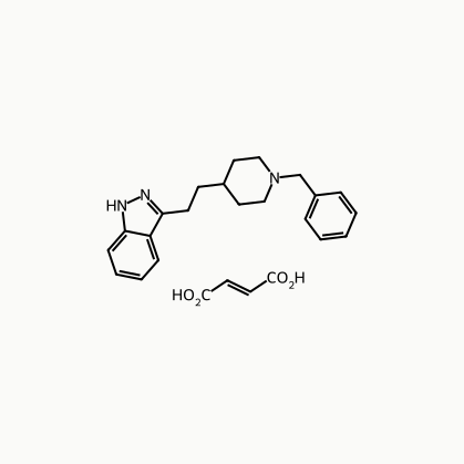 O=C(O)C=CC(=O)O.c1ccc(CN2CCC(CCc3n[nH]c4ccccc34)CC2)cc1